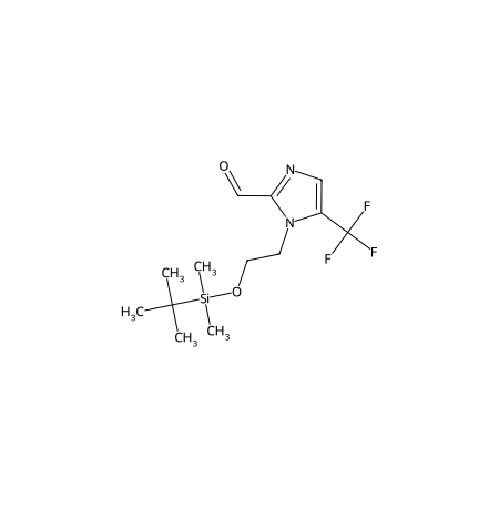 CC(C)(C)[Si](C)(C)OCCn1c(C(F)(F)F)cnc1C=O